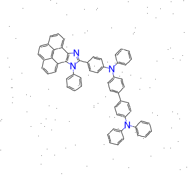 c1ccc(N(c2ccccc2)c2ccc(-c3ccc(N(c4ccccc4)c4ccc(-c5nc6c7cccc8ccc9cccc(c9c87)c6n5-c5ccccc5)cc4)cc3)cc2)cc1